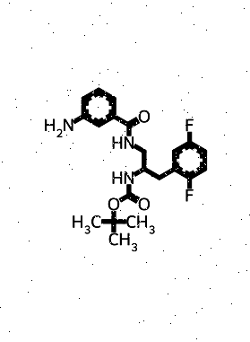 CC(C)(C)OC(=O)NC(CNC(=O)c1cccc(N)c1)Cc1cc(F)ccc1F